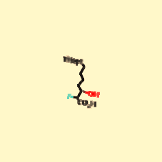 CCCCCCCCCCCC(O)C(F)C(=O)O